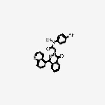 CCc1ccc(N(CC)C(=O)Cn2nc(-c3cccc4ncccc34)c3ccccc3c2=O)cc1